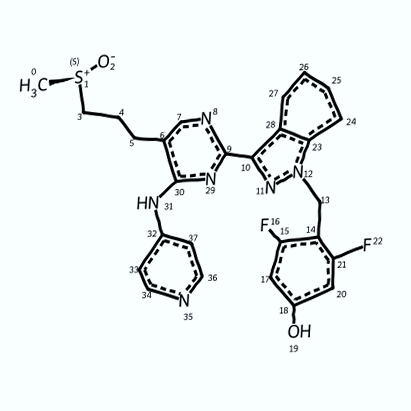 C[S@@+]([O-])CCCc1cnc(-c2nn(Cc3c(F)cc(O)cc3F)c3ccccc23)nc1Nc1ccncc1